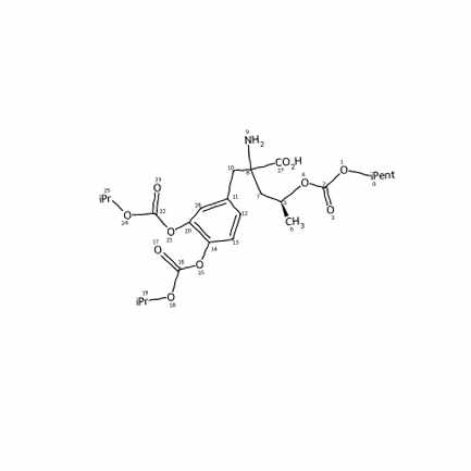 CCCC(C)OC(=O)O[C@@H](C)CC(N)(Cc1ccc(OC(=O)OC(C)C)c(OC(=O)OC(C)C)c1)C(=O)O